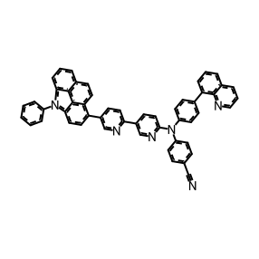 N#Cc1ccc(N(c2ccc(-c3cccc4cccnc34)cc2)c2ccc(-c3ccc(-c4ccc5c6c4ccc4cccc(c46)n5-c4ccccc4)cn3)cn2)cc1